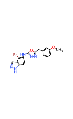 COc1cccc(Cc2nnc(Nc3ccc4[nH]ncc4c3Br)o2)c1